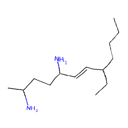 CCCCC(C=CC(N)CCC(C)N)CC